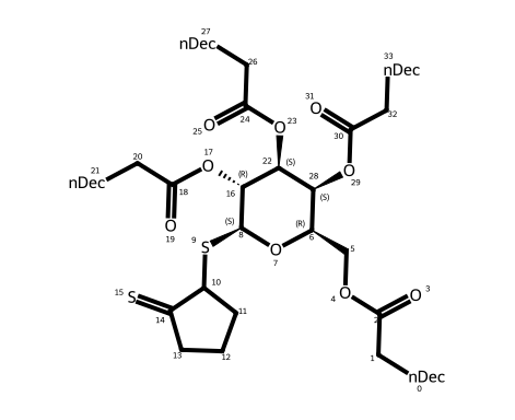 CCCCCCCCCCCC(=O)OC[C@H]1O[C@@H](SC2CCCC2=S)[C@H](OC(=O)CCCCCCCCCCC)[C@@H](OC(=O)CCCCCCCCCCC)[C@H]1OC(=O)CCCCCCCCCCC